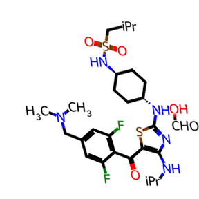 CC(C)CS(=O)(=O)N[C@H]1CC[C@H](Nc2nc(NC(C)C)c(C(=O)c3c(F)cc(CN(C)C)cc3F)s2)CC1.O=CO